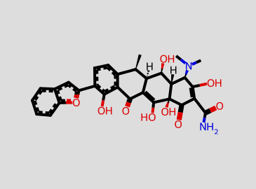 C[C@@H]1c2ccc(-c3cc4ccccc4o3)c(O)c2C(=O)C2=C(O)[C@@]3(O)C(=O)C(C(N)=O)=C(O)[C@H](N(C)C)[C@H]3[C@H](O)[C@@H]21